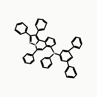 c1ccc(-c2cc(-c3ccccc3)cc(N(c3ccccc3)c3cccc4c3cc(-c3ccccc3)n3nc(-c5ccccc5)c(-c5ccccc5)c43)c2)cc1